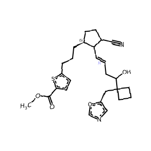 COC(=O)c1ccc(CCC[C@H]2CCC(C#N)C2/C=C/CC(O)C2(Cc3cnco3)CCC2)s1